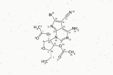 CC[C@@H]1OC[C@@](OC(C)=O)(n2cnc(N)c3c(C#N)c(Br)nc2-3)C1OC(C)=O